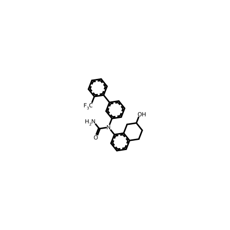 NC(=O)N(c1cccc(-c2ccccc2C(F)(F)F)c1)c1cccc2c1CC(O)CC2